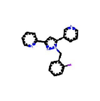 Ic1ccccc1Cn1nc(-c2ccccn2)cc1-c1cccnc1